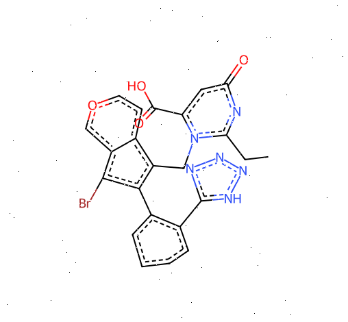 CCc1nc(=O)cc(C(=O)O)n1Cc1c2ccocc-2c(Br)c1-c1ccccc1-c1nnn[nH]1